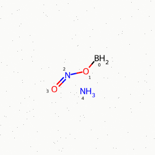 BON=O.N